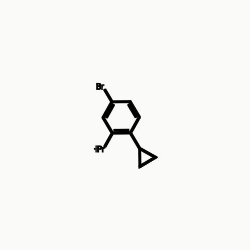 C[C](C)c1cc(Br)ccc1C1CC1